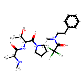 CN[C@@H](C)C(=O)N[C@H](C(=O)N1CCC[C@H]1CN(CCc1ccccc1)C(=O)C(F)(F)F)[C@@H](C)O